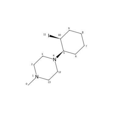 CN1CCN([C@@H]2CC[CH]C[C@@H]2I)CC1